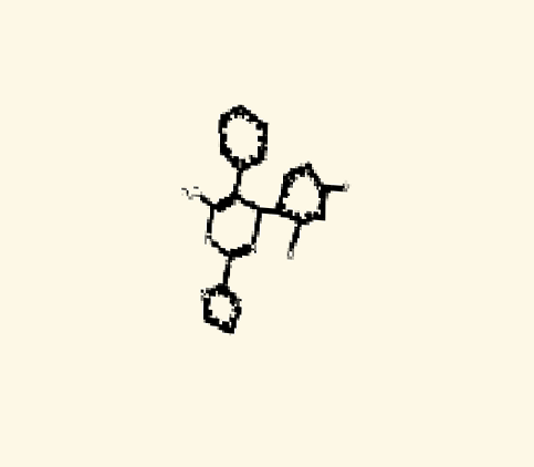 CC1=C(c2ccccc2)C(c2ccc(F)cc2Cl)N=C(c2nccs2)N1